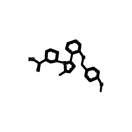 COc1ccc(COc2ccccc2-c2ccc(C)n2-c2cccc(C(=O)O)c2)cc1